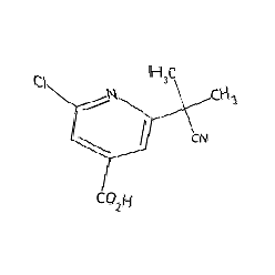 CC(C)(C#N)c1cc(C(=O)O)cc(Cl)n1